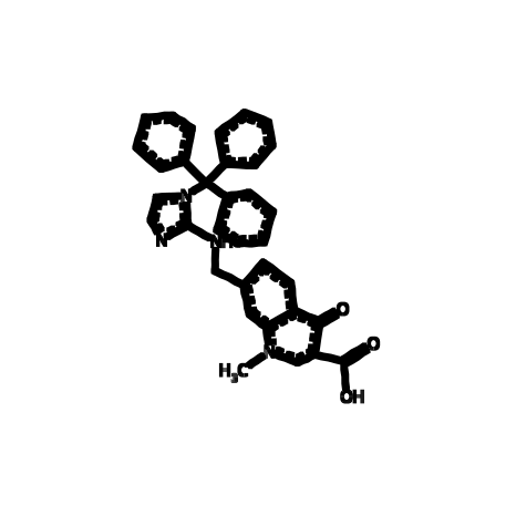 Cn1cc(C(=O)O)c(=O)c2ccc(CNc3nccn3C(c3ccccc3)(c3ccccc3)c3ccccc3)cc21